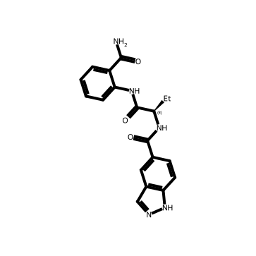 CC[C@@H](NC(=O)c1ccc2[nH]ncc2c1)C(=O)Nc1ccccc1C(N)=O